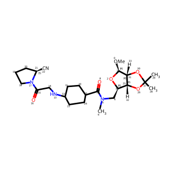 CO[C@@H]1O[C@H](CN(C)C(=O)C2CCC(NCC(=O)N3CCC[C@H]3C#N)CC2)[C@H]2OC(C)(C)O[C@@H]12